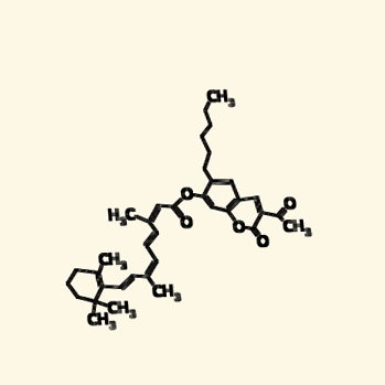 CCCCCCc1cc2cc(C(C)=O)c(=O)oc2cc1OC(=O)C=C(C)C=CC=C(C)C=CC1=C(C)CCCC1(C)C